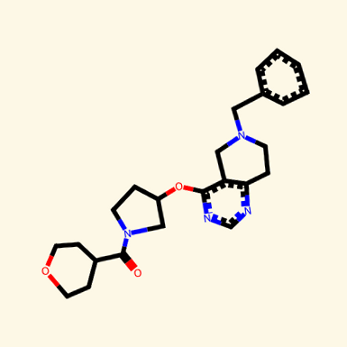 O=C(C1CCOCC1)N1CCC(Oc2ncnc3c2CN(Cc2ccccc2)CC3)C1